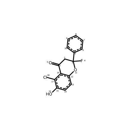 O=C1CC(F)(c2ccccc2)Oc2ccc(O)c(Cl)c21